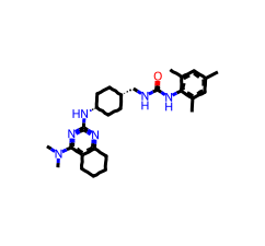 Cc1cc(C)c(NC(=O)NC[C@H]2CC[C@@H](Nc3nc4c(c(N(C)C)n3)CCCC4)CC2)c(C)c1